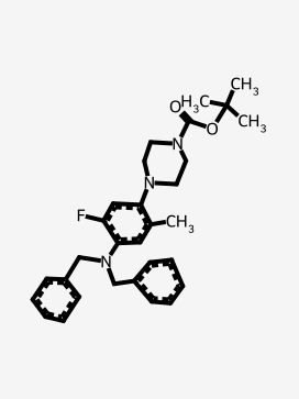 Cc1cc(N(Cc2ccccc2)Cc2ccccc2)c(F)cc1N1CCN(C(=O)OC(C)(C)C)CC1